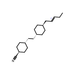 CC/C=C/C[C@H]1CC[C@H](CC[C@H]2CC[C@H](C#N)CC2)CC1